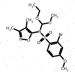 CCOC(OC)N(c1onc(C)c1C)S(=O)(=O)c1ccc(OC)cc1Br